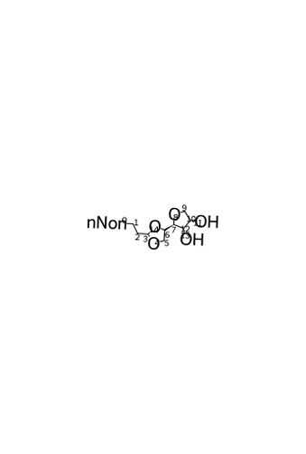 CCCCCCCCCCCC1OCC([C@H]2OC[C@@H](O)C2O)O1